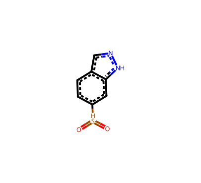 O=[SH](=O)c1ccc2cn[nH]c2c1